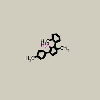 Cc1ccc(-c2ccc(C)c(-c3ccccc3C)c2P)cc1